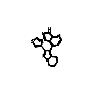 c1cc(-c2c(-c3cscn3)nn3c2CCCC3)c2cn[nH]c2n1